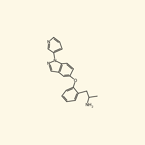 CC(N)Cc1ccccc1Oc1ccc2c(cnn2-c2cccnc2)c1